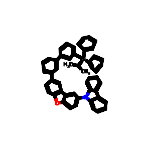 CC(C)[Si](c1ccccc1)(c1ccccc1)c1cccc(-c2cccc(-c3ccc4oc5ccc(-n6c7ccccc7c7ccccc76)cc5c4c3)c2)c1